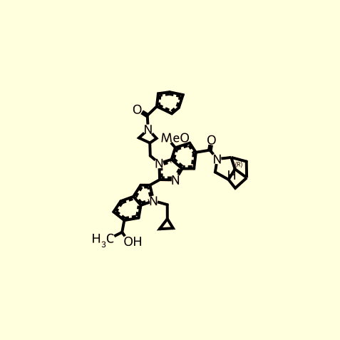 COc1cc(C(=O)N2CC3CC4CC2[C@H]43)cc2nc(-c3cc4ccc(C(C)O)cc4n3CC3CC3)n(CC3CN(C(=O)c4ccccc4)C3)c12